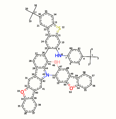 CC(C)(C)c1ccc(Nc2cc3sc4ccc(C(C)(C)C)cc4c3cc2-c2ccc3c4cc5oc6ccccc6c5cc4n4c3c2Bc2cc3c(cc2-4)oc2ccccc23)cc1